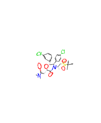 C[C@@H](CS(=O)(=O)C(C)(C)C)N1C(=O)[C@H](CC(=O)N(C)C)O[C@H](c2cccc(Cl)c2)[C@H]1c1ccc(Cl)cc1